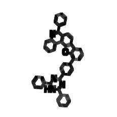 c1ccc(C2=NC(c3ccc(-c4cccc5c4oc4c5ccc5c(-c6ccccc6)nc6ccccc6c54)cc3)=NC(c3ccccc3)N2)cc1